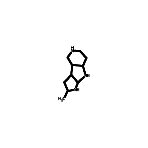 CC1CC2C(N1)NC1CCNCC12